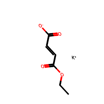 CCOC(=O)C=CC(=O)[O-].[K+]